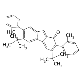 Cc1ccccc1C1=C(C(C)(C)C)C=C2C(=Cc3cc(-c4ccccc4C)c(C(C)(C)C)cc32)C1=O